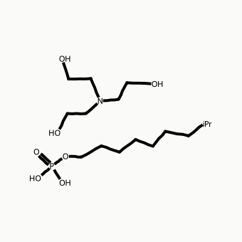 CC(C)CCCCCCCOP(=O)(O)O.OCCN(CCO)CCO